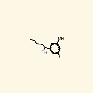 CCCCC(O)c1cc(O)cc(F)c1